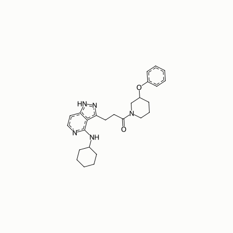 O=C(CCc1n[nH]c2ccnc(NC3CCCCC3)c12)N1CCCC(Oc2ccccc2)C1